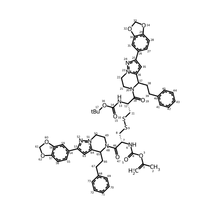 C=C(C)OC(=O)N[C@@H](CSSC[C@H](NC(=O)OC(C)(C)C)C(=O)N1CCn2nc(-c3ccc4c(c3)OCO4)cc2C1CCc1ccccc1)C(=O)N1CCn2nc(-c3ccc4c(c3)OCO4)cc2C1CCc1ccccc1